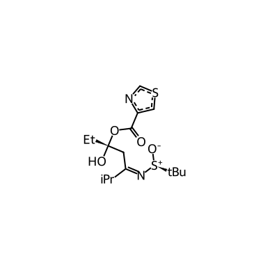 CC[C@](O)(C/C(=N\[S@@+]([O-])C(C)(C)C)C(C)C)OC(=O)c1cscn1